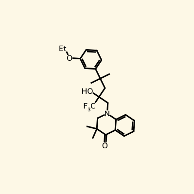 CCOc1cccc(C(C)(C)CC(O)(CN2CC(C)(C)C(=O)c3ccccc32)C(F)(F)F)c1